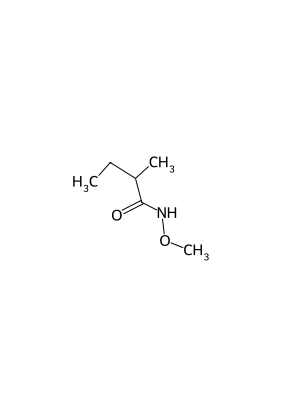 CCC(C)C(=O)NOC